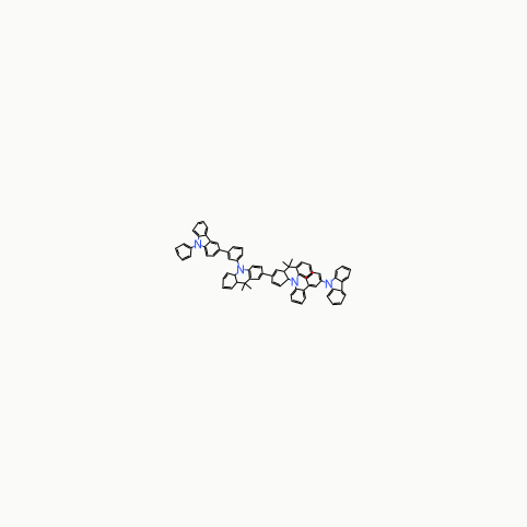 CC1(C)c2cc(C3=CC4C(C=C3)N(c3ccccc3-c3cccc(-n5c6ccccc6c6ccccc65)c3)c3ccccc3C4(C)C)ccc2N(c2cccc(-c3ccc4c(c3)c3ccccc3n4-c3ccccc3)c2)C2C=CC=CC21